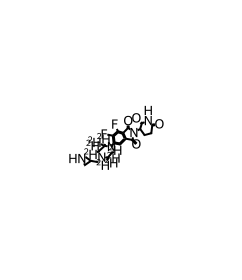 [2H]C1([2H])N(CC2CNC2)C([2H])([2H])C([2H])([2H])N(c2cc3c(c(F)c2F)C(=O)N(C2CCC(=O)NC2=O)C3=O)C1([2H])[2H]